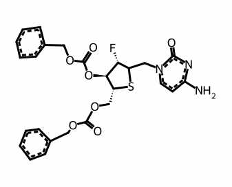 Nc1ccn(CC2S[C@H](COC(=O)OCc3ccccc3)[C@@H](OC(=O)OCc3ccccc3)[C@@H]2F)c(=O)n1